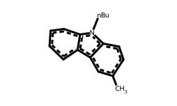 CCCCn1c2ccccc2c2cc(C)ccc21